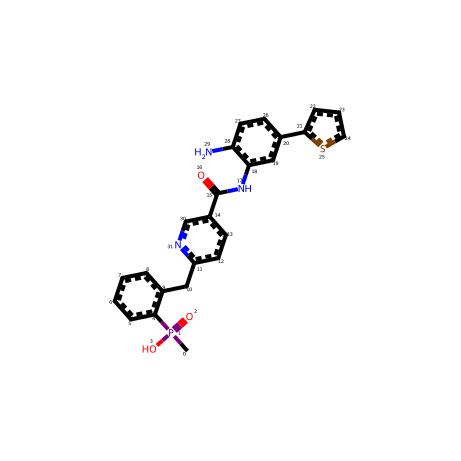 CP(=O)(O)c1ccccc1Cc1ccc(C(=O)Nc2cc(-c3cccs3)ccc2N)cn1